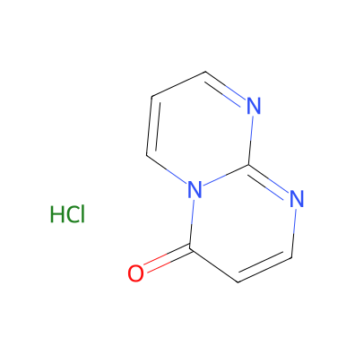 Cl.O=c1ccnc2ncccn12